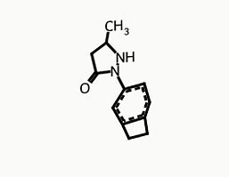 CC1CC(=O)N(c2ccc3c(c2)CC3)N1